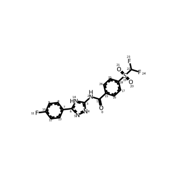 O=C(Nc1nnc(-c2ccc(F)cc2)[nH]1)c1ccc(S(=O)(=O)C(F)F)cc1